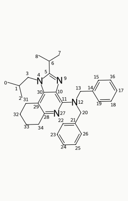 CC(C)Cn1c(C(C)C)nc2c(N(Cc3ccccc3)Cc3ccccc3)nc3c(c21)CCCC3